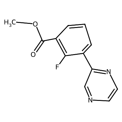 COC(=O)c1cccc(-c2cnccn2)c1F